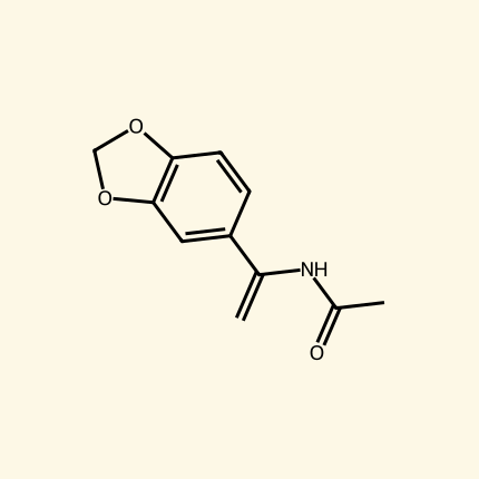 C=C(NC(C)=O)c1ccc2c(c1)OCO2